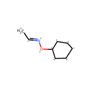 [CH2]C=NOC1CCCCC1